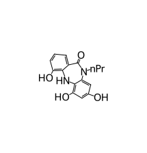 CCCN1C(=O)c2cccc(O)c2Nc2c(O)cc(O)cc21